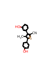 Cc1c(-c2ccc(O)cc2)sc(C#N)c1-c1cccc(O)c1